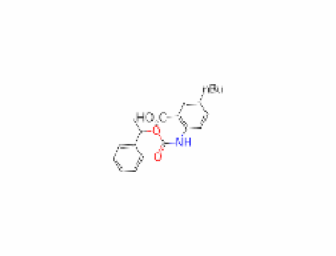 CCCCc1ccc(NC(=O)OC(C)c2ccccc2)c(C(=O)O)c1